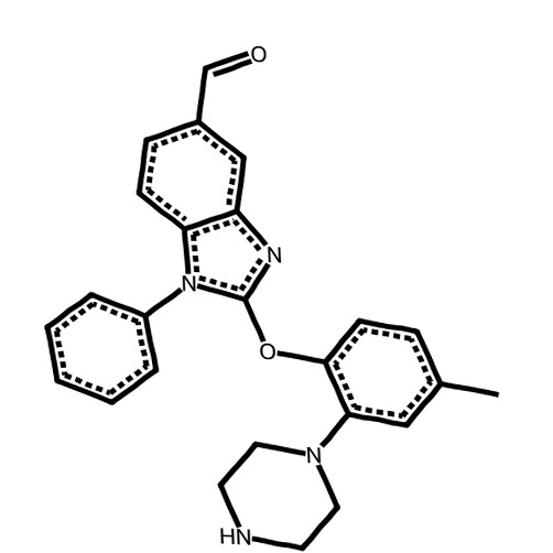 Cc1ccc(Oc2nc3cc(C=O)ccc3n2-c2ccccc2)c(N2CCNCC2)c1